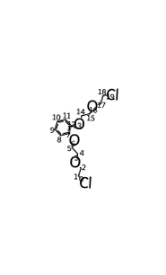 ClCCOCCOc1ccccc1OCCOCCCl